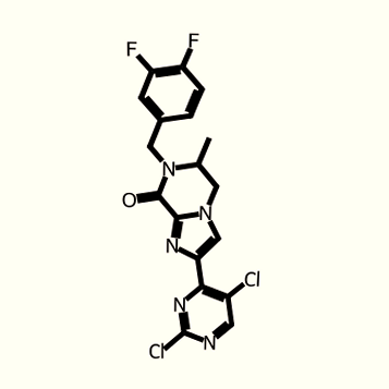 CC1Cn2cc(-c3nc(Cl)ncc3Cl)nc2C(=O)N1Cc1ccc(F)c(F)c1